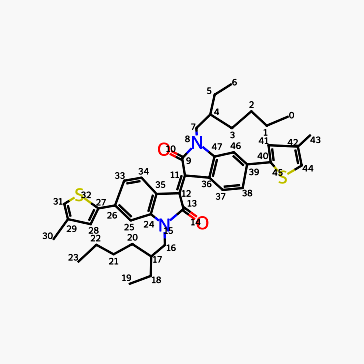 CCCCC(CC)CN1C(=O)/C(=C2/C(=O)N(CC(CC)CCCC)c3cc(-c4cc(C)cs4)ccc32)c2ccc(-c3cc(C)cs3)cc21